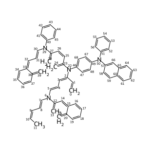 C=C/C(=C\C=C\N(/C=C/C=C\C)C(=C)/C=c1/ccccc1=C)N(C(=C)/C=C\C(=C)N(/C=C/C=c1/ccccc1=C)c1ccccc1)c1ccc(N(c2ccccc2)c2ccc3ccccc3c2)cc1